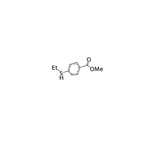 CC[SH](C)c1ccc(C(=O)OC)cc1